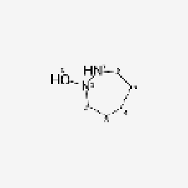 ON1CCCCCN1